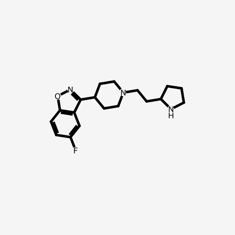 Fc1ccc2onc(C3CCN(CCC4CCCN4)CC3)c2c1